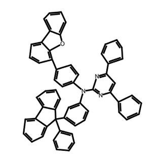 c1ccc(-c2cc(-c3ccccc3)nc(N(c3ccc(-c4cccc5c4oc4ccccc45)cc3)c3cccc(C4(c5ccccc5)c5ccccc5-c5ccccc54)c3)n2)cc1